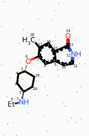 CCN[C@H]1CC[C@H](Oc2cc3cc[nH]c(=O)c3cc2C)CC1